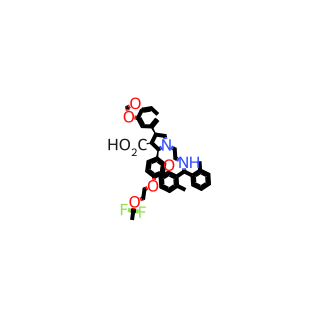 C=C(/C=C1/OCO/C1=C/C)[C@H]1CN(CC(=O)NC(c2ccccc2C)c2ccccc2C)[C@@H](c2ccc(OCCOC(C)(F)F)cc2)[C@@H]1C(=O)O